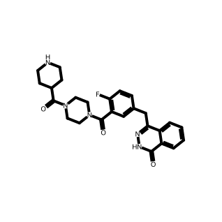 O=C(c1cc(Cc2n[nH]c(=O)c3ccccc23)ccc1F)N1CCN(C(=O)C2CCNCC2)CC1